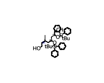 C=C[C@H](C[C@H](C/C(I)=C\CO)O[Si](c1ccccc1)(c1ccccc1)C(C)(C)C)O[Si](c1ccccc1)(c1ccccc1)C(C)(C)C